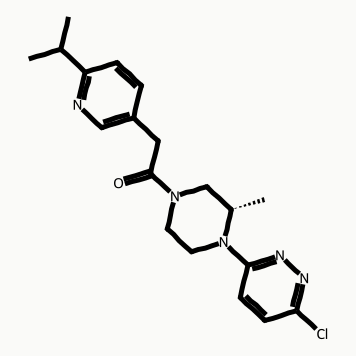 CC(C)c1ccc(CC(=O)N2CCN(c3ccc(Cl)nn3)[C@@H](C)C2)cn1